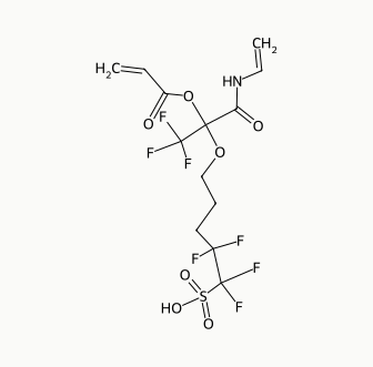 C=CNC(=O)C(OCCCC(F)(F)C(F)(F)S(=O)(=O)O)(OC(=O)C=C)C(F)(F)F